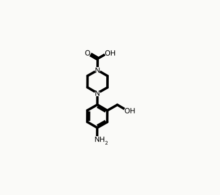 Nc1ccc(N2CCN(C(=O)O)CC2)c(CO)c1